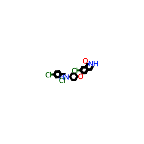 O=c1[nH]ccc2cc(O[C@H]3CC[C@@H](NCc4ccc(Cl)cc4Cl)CC3)c(Cl)cc12